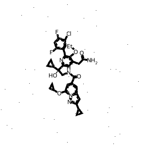 CCOc1c(CC(N)=O)cc([C@@](O)(CNC(=O)c2cc(OC3CC3)n3nc(C4CC4)cc3c2)C2CC2)nc1-c1cc(Cl)c(F)cc1F